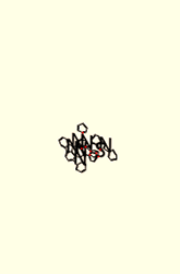 c1ccc(-c2nc(-c3ccccc3)nc(-n3c4ccccc4c4ccc5c6ccccc6n(-c6ccc(-c7cccc8nc(-c9ccccc9)sc78)c7ccccc67)c5c43)n2)cc1